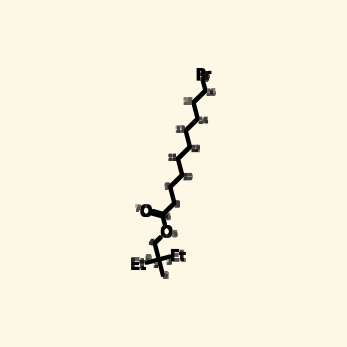 CCC(C)(CC)COC(=O)CCCCCCCCCBr